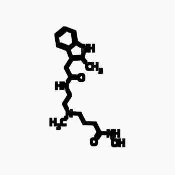 Cc1[nH]c2ccccc2c1CC(=O)NCCN(C)CCCC(=O)NO